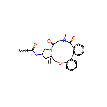 CNC(=O)N[C@@H]1C[C@H]2COc3ccccc3-c3ccccc3C(=O)N(C)CC(=O)N2C1